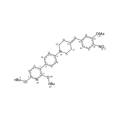 CCCCOc1ccc(-c2ccc(N3CCC(=Cc4ccc([N+](=O)[O-])c(OC)c4)CC3)cc2)c(OCCCC)n1